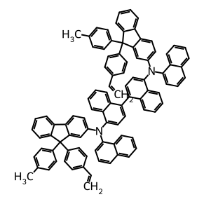 C=Cc1ccc(C2(c3ccc(C)cc3)c3ccccc3-c3ccc(N(c4cccc5ccccc45)c4ccc(-c5ccc(N(c6ccc7c(c6)C(c6ccc(C)cc6)(c6ccc(C=C)cc6)c6ccccc6-7)c6cccc7ccccc67)c6ccccc56)c5ccccc45)cc32)cc1